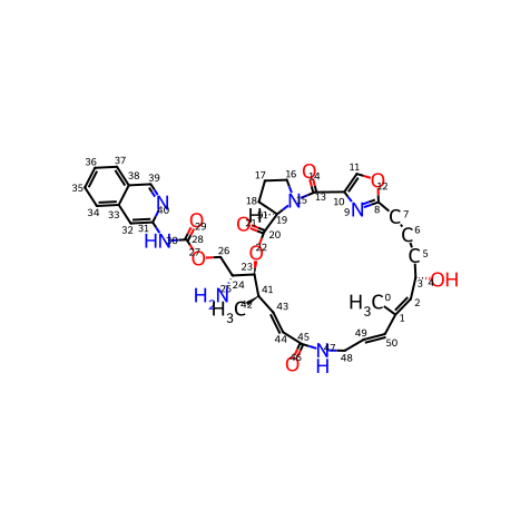 CC1=C\[C@@H](O)CCCc2nc(co2)C(=O)N2CCC[C@@H]2C(=O)O[C@H]([C@H](N)COC(=O)Nc2cc3ccccc3cn2)[C@H](C)/C=C/C(=O)NC\C=C\1